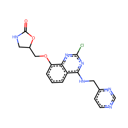 O=C1NCC(COc2cccc3c(NCc4ccncn4)nc(Cl)nc23)O1